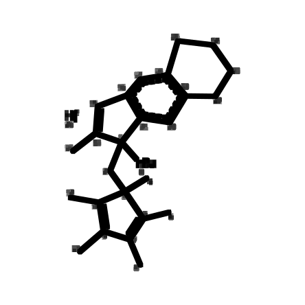 CCCCC1(CC2(C)C(C)=C(C)C(C)=C2C)C(C)=Cc2cc3c(cc21)CCCC3.[Hf]